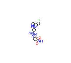 O=C1NC(=O)C(/C=C\c2ccnc(N[C@H]3CC[C@H](NCc4ccc(F)cc4-c4cccnc4)CC3)n2)S1